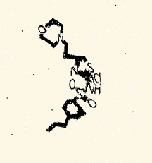 CCCc1ccc(S(=O)(=O)Nc2nc(CCN3CCOCC3)cs2)cc1.Cl